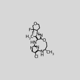 Cc1c2c(nn1C1CCOCC1(F)F)OCC[C@@H](C)Nc1nc(ncc1Cl)N2